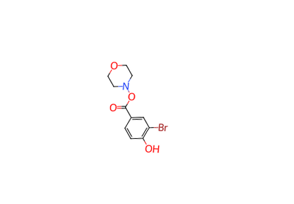 O=C(ON1CCOCC1)c1ccc(O)c(Br)c1